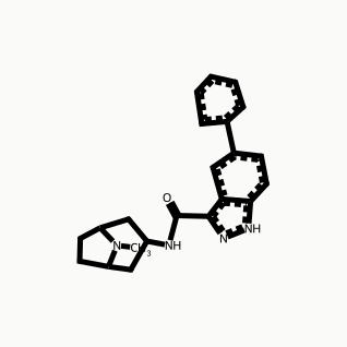 CN1C2CCC1CC(NC(=O)c1n[nH]c3ccc(-c4ccccc4)cc13)C2